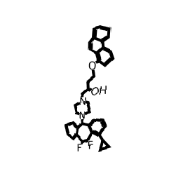 OC(CCOc1cccc2c1ccc1ccccc12)CN1CCN(C2c3ccccc3C(F)C(F)c3c(C4CC4)cccc32)CC1